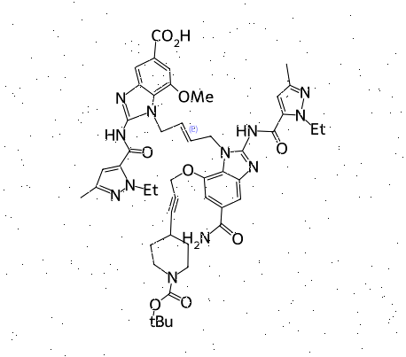 CCn1nc(C)cc1C(=O)Nc1nc2cc(C(=O)O)cc(OC)c2n1C/C=C/Cn1c(NC(=O)c2cc(C)nn2CC)nc2cc(C(N)=O)cc(OCC#CC3CCN(C(=O)OC(C)(C)C)CC3)c21